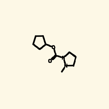 CN1CCCN1C(=O)OC1CCCC1